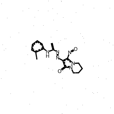 C=C(/N=N/c1c(N=O)n2n(c1=O)CCCC2)Nc1ccccc1C